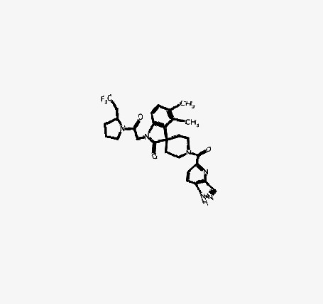 Cc1ccc2c(c1C)C1(CCN(C(=O)c3ccc4[nH]ncc4n3)CC1)C(=O)N2CC(=O)N1CCCC1CC(F)(F)F